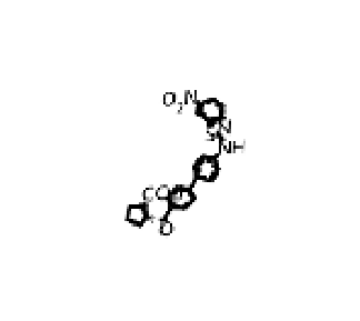 O=C(O)[C@@H]1CCC[C@H]1C(=O)c1ccc(-c2ccc(Nc3nc4ccc([N+](=O)[O-])cc4s3)cc2)cc1